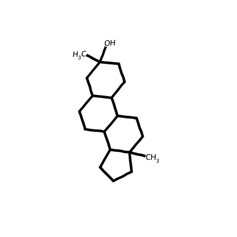 CC1(O)CCC2C(CCC3C2CCC2(C)CCCC32)C1